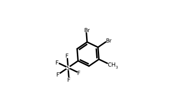 Cc1cc(S(F)(F)(F)(F)F)cc(Br)c1Br